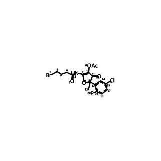 CC(=O)OC1=C(NC(=O)CCCBr)OC(C)(c2cc(Cl)ccc2F)C1=O